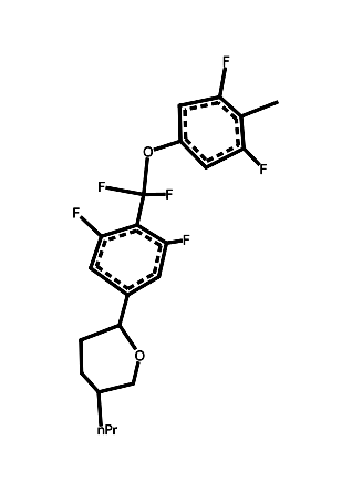 CCCC1CCC(c2cc(F)c(C(F)(F)Oc3cc(F)c(C)c(F)c3)c(F)c2)OC1